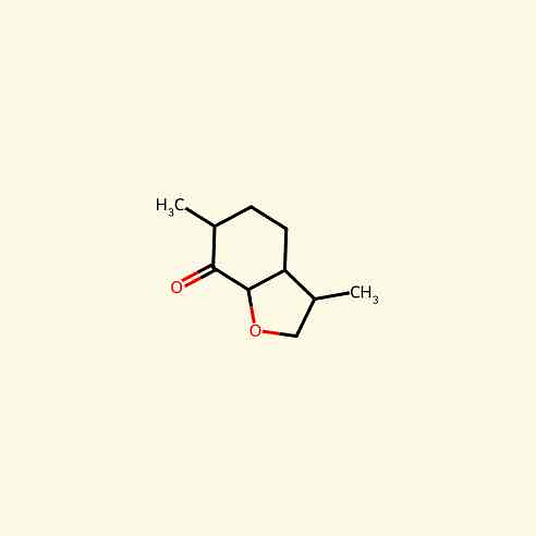 CC1CCC2C(C)COC2C1=O